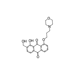 O=C1c2cccc(OCCCN3CCOCC3)c2C(=O)c2c1ccc(CO)c2O